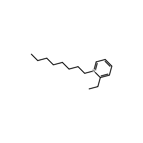 CCCCCCCC[n+]1ccccc1CC